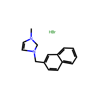 Br.CN1C=CN(Cc2ccc3ccccc3c2)C1